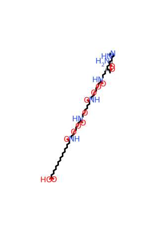 CC(=O)[C@H](CCCCNC(=O)COCCOCCNC(=O)CCCCOCCNC(=O)COCCOCCNC(=O)CCCCCCCCCCCCCCCCC(=O)O)CC(=O)[C@@H](N)Cc1cnc[nH]1